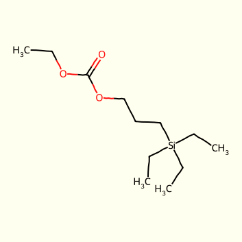 CCOC(=O)OCCC[Si](CC)(CC)CC